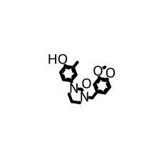 Cc1cc(N2CCCN(Cc3ccc4c(c3)OCO4)C2=O)ccc1O